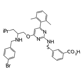 Cc1cccc(C)c1-c1cc(OCC(CC(C)C)NCc2ccc(Br)cc2)nc(NSc2cccc(C(=O)O)c2)n1